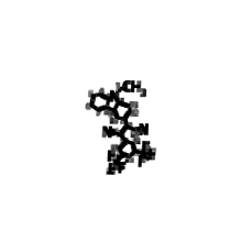 CCn1c2ccccc2c2cc(C(C#N)=C(C#N)c3cc(C(F)(F)F)cc(C(F)(F)F)c3)ccc21